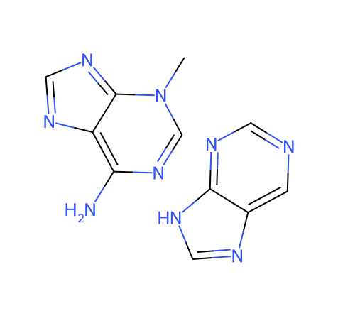 Cn1cnc(N)c2ncnc1-2.c1ncc2nc[nH]c2n1